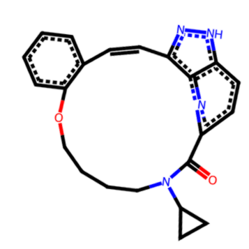 O=C1c2ccc3[nH]nc(c3n2)C=Cc2ccccc2OCCCCN1C1CC1